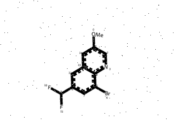 COc1cnc2c(Br)cc(C(F)F)cc2c1